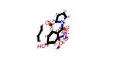 CCCC.COC1([N+](=O)[O-])C=C(O)C=CC1C(=O)N1CCC[C@H]1C=O